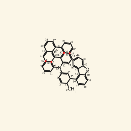 CC1C=CC(N(c2ccccc2)c2ccccc2C2=c3c(-c4ccccc4)cccc3=CCC2)=CC1c1cccc2oc3ccccc3c12